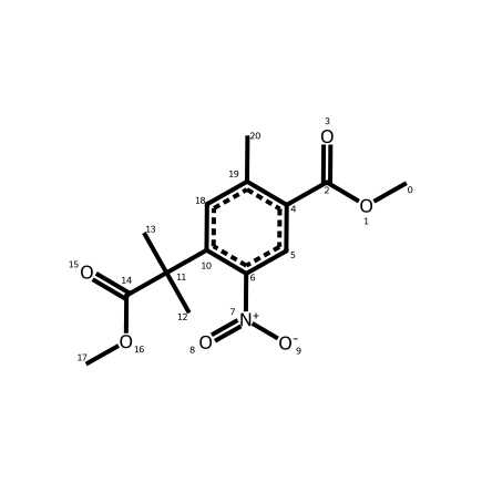 COC(=O)c1cc([N+](=O)[O-])c(C(C)(C)C(=O)OC)cc1C